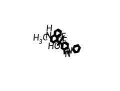 CNc1ccc(C(O)(c2ccc3c(cnn3-c3ccccc3)c2)C(F)(F)F)c2ccccc12